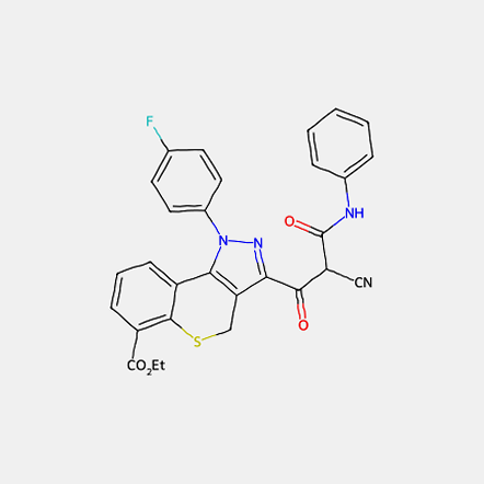 CCOC(=O)c1cccc2c1SCc1c(C(=O)C(C#N)C(=O)Nc3ccccc3)nn(-c3ccc(F)cc3)c1-2